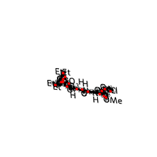 CCN(CC)c1ccc2c(-c3ccc(S(=O)(=O)NCCCCCC(=O)NCCCCNC(=O)Cc4c(C)n(C(=O)c5ccc(Cl)cc5)c5ccc(OC)cc45)cc3S(=O)(=O)O)c3ccc(=[N+](CC)CC)cc-3oc2c1